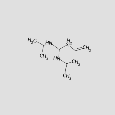 C=C[SiH2]C(NC(C)C)NC(C)C